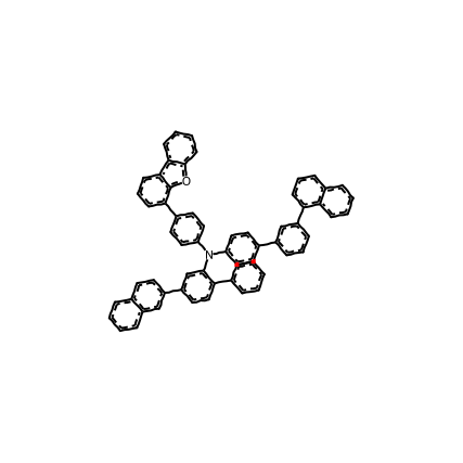 c1ccc(-c2ccc(-c3ccc4ccccc4c3)cc2N(c2ccc(-c3cccc(-c4cccc5ccccc45)c3)cc2)c2ccc(-c3cccc4c3oc3ccccc34)cc2)cc1